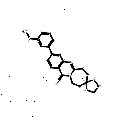 COc1cccc(-c2ccc3c(=O)n4c(nc3c2)CCC2(CC4)OCCO2)c1